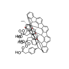 CC[C@]12C3=C4C5=C1[C@@]1(c6ccc(CC(=O)O)cc6)c6c7ccc8c6[C@]5(c5ccc(CC(=O)O)cc5)c5c-8ccc6c5[C@]4(c4ccc(CC(=O)O)cc4)c4c-6ccc5c4[C@]3(c3ccc(CC(=O)O)cc3)c3c-5ccc4c3[C@]2(c2ccc(CC(=O)O)cc2)c2c-4ccc-7c21